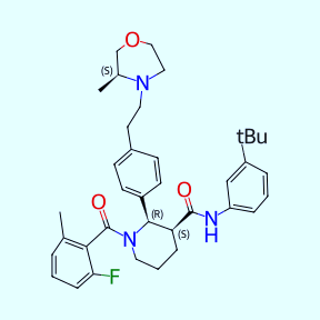 Cc1cccc(F)c1C(=O)N1CCC[C@H](C(=O)Nc2cccc(C(C)(C)C)c2)[C@@H]1c1ccc(CCN2CCOC[C@@H]2C)cc1